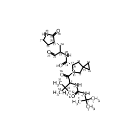 CC(C)(C)NC(=O)NC(C(=O)N1CC2(CC2)C[C@H]1C(=O)NC(C=O)C[C@@H]1CCNC1=O)C(C)(C)C